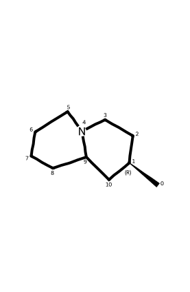 C[C@@H]1CCN2CCCCC2C1